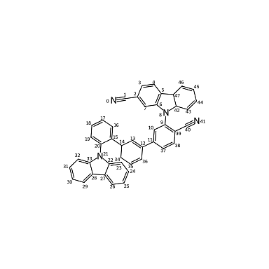 N#Cc1ccc2c(c1)N(c1cc(C3=CC(c4ccccc4-n4c5ccccc5c5ccccc54)CC=C3)ccc1C#N)C1C=CC=CC21